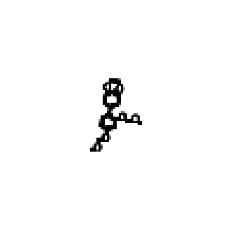 COCOc1ccc(C2=CCC3(CC2)OCCO3)c(OCOC)c1